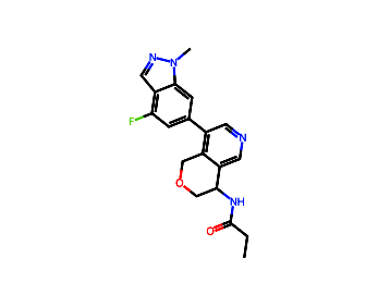 CCC(=O)NC1COCc2c(-c3cc(F)c4cnn(C)c4c3)cncc21